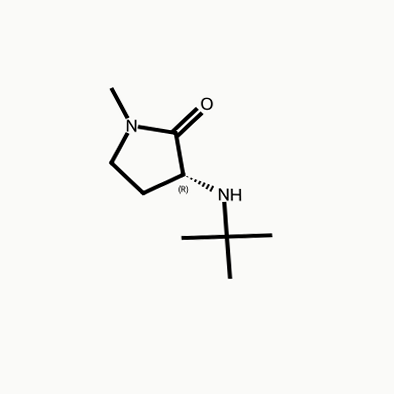 CN1CC[C@@H](NC(C)(C)C)C1=O